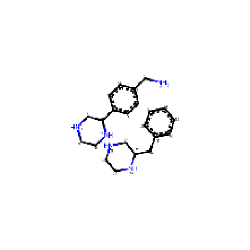 NCc1ccc(C2CNCCN2)cc1.c1ccc(CC2CNCCN2)cc1